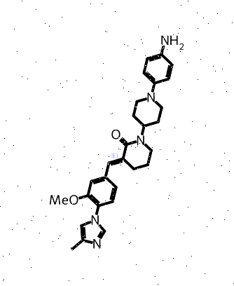 COc1cc(/C=C2\CCCN(C3CCN(c4ccc(N)cc4)CC3)C2=O)ccc1-n1cnc(C)c1